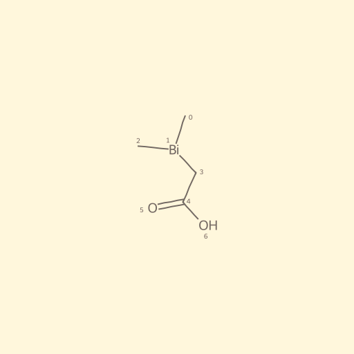 [CH3][Bi]([CH3])[CH2]C(=O)O